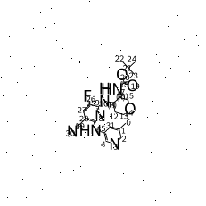 Cc1cncc(Nc2nc(N[C@@H]3CCOC[C@@H]3NC(=O)OC(C)(C)C)c(F)cc2C#N)c1